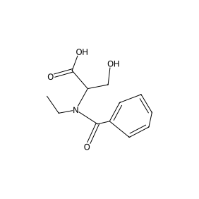 CCN(C(=O)c1ccccc1)C(CO)C(=O)O